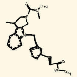 CC1CN(C(=O)N(C)C=O)Cc2c1c1ccccc1n2Cc1cccc(/C=C/C(=O)NO)c1